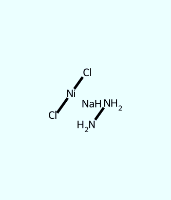 NN.[Cl][Ni][Cl].[NaH]